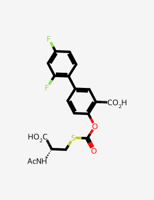 CC(=O)N[C@@H](CSC(=O)Oc1ccc(-c2ccc(F)cc2F)cc1C(=O)O)C(=O)O